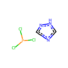 ClP(Cl)Cl.c1nc[nH]n1